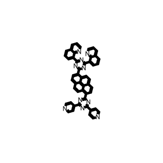 c1cnc2c(-c3nc(-c4ccc5ccc6c(-c7nc(-c8ccncc8)nc(-c8ccncc8)n7)ccc7ccc4c5c76)nc(-c4cccc5cccnc45)n3)cccc2c1